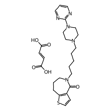 O=C(O)C=CC(=O)O.O=C1c2ccsc2CCCN1CCCCCN1CCN(c2ncccn2)CC1